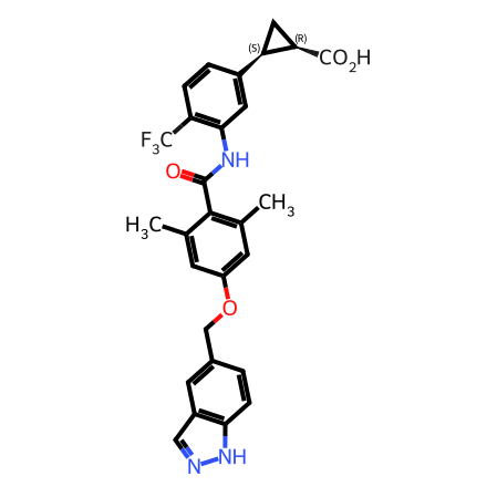 Cc1cc(OCc2ccc3[nH]ncc3c2)cc(C)c1C(=O)Nc1cc([C@H]2C[C@H]2C(=O)O)ccc1C(F)(F)F